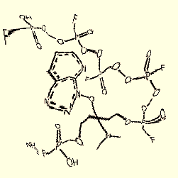 CN(C)C(COP(=O)(O)F)(COP(=O)(F)OOP(=O)(F)OOP(=O)(F)OOP(=O)(F)OOP(=O)(O)F)On1nnc2cccnc21.N